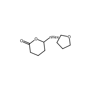 C1CCOC1.CCCCCCC1CCCC(=O)O1